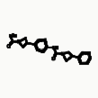 CCCCC(=O)N1CC(c2ccc(NC(=O)N3CC(c4cccnc4)C3)cc2)C1